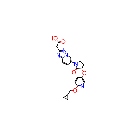 O=C(O)Cc1nc2ccc(N3CC[C@@H](Oc4ccc(OCC5CC5)nc4)C3=O)cn2n1